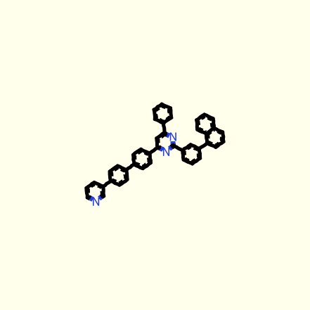 c1ccc(-c2cc(-c3ccc(-c4ccc(-c5cccnc5)cc4)cc3)nc(-c3cccc(-c4cccc5ccccc45)c3)n2)cc1